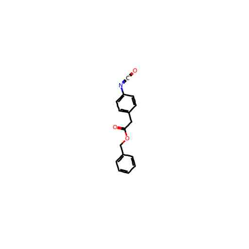 O=C=Nc1ccc(CC(=O)OCc2ccccc2)cc1